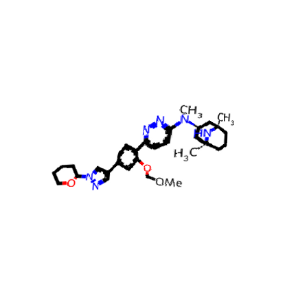 COCOc1cc(-c2cnn(C3CCCCO3)c2)ccc1-c1ccc(N(C)[C@@H]2C[C@]3(C)CCC[C@](C)(C2)N3)nn1